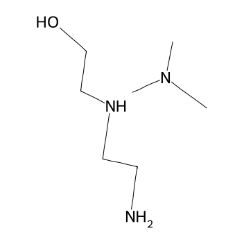 CN(C)C.NCCNCCO